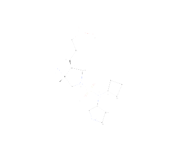 C[C@]1(N)CN(S(=O)(=O)N(C2CCC2)C2CCNC2)C[C@@H]1CCCB(O)O